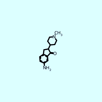 CN1CCC(C2Cc3ccc(N)cc3C2=O)CC1